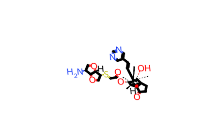 C[C@@H]1CC[C@@]23CCC(=O)[C@H]2[C@]1(C)[C@H](OC(=O)CS[C@H]1COC2[C@@H](N)CO[C@@H]21)C[C@](C)(/C=C/c1cncnc1)[C@@H](O)[C@@H]3C